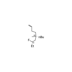 C=CCC[C@@](C)(CCCC)C[C@@H](F)CC